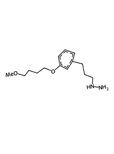 COCCCCOc1cccc(CCCNN)c1